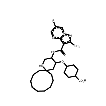 Nc1nn2cc(F)cnc2c1C(=O)NC1CNC2(CCCCCCCCC2)CC1OC1CCC(C(=O)O)CC1